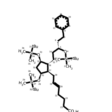 CC(C)(C)[Si](C)(C)O[C@@H](CCc1ccccc1)CC[C@@H]1[C@@H](C/C=C/CCCC(=O)O)[C@@H](O[Si](C)(C)C(C)(C)C)C[C@H]1O[Si](C)(C)C(C)(C)C